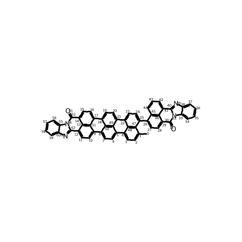 Cc1ccc2c3ccc4c5ccc6c7c(ccc(c8ccc(c9ccc(-c%10ccc%11c(=O)n%12c%13ccccc%13nc%12c%12cccc%10c%11%12)c1c92)c3c84)c57)c(=O)n1c2ccccc2nc61